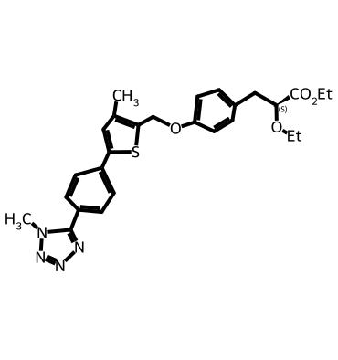 CCOC(=O)[C@H](Cc1ccc(OCc2sc(-c3ccc(-c4nnnn4C)cc3)cc2C)cc1)OCC